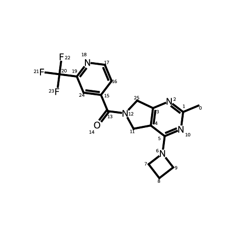 Cc1nc2c(c(N3CCC3)n1)CN(C(=O)c1ccnc(C(F)(F)F)c1)C2